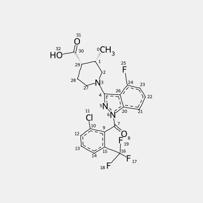 C[C@@H]1CN(c2nn(C(=O)c3c(Cl)cccc3C(F)(F)F)c3cccc(F)c23)CC[C@@H]1C(=O)O